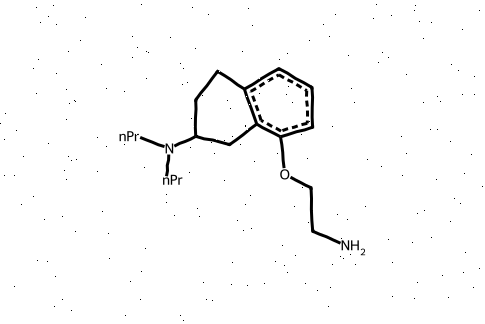 CCCN(CCC)C1CCc2cccc(OCCN)c2C1